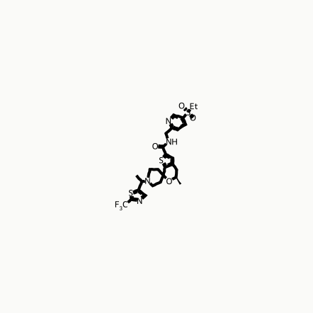 CCS(=O)(=O)c1ccc(CNC(=O)c2cc3c(s2)C2(CCN(C(C)c4cnc(C(F)(F)F)s4)CC2)O[C@H](C)C3)nc1